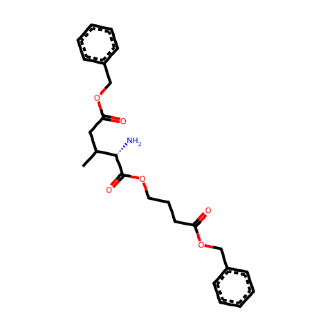 CC(CC(=O)OCc1ccccc1)[C@H](N)C(=O)OCCCC(=O)OCc1ccccc1